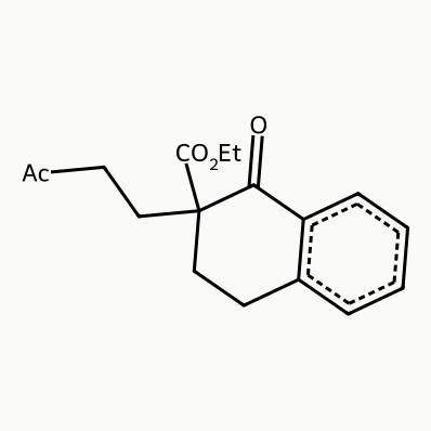 CCOC(=O)C1(CCC(C)=O)CCc2ccccc2C1=O